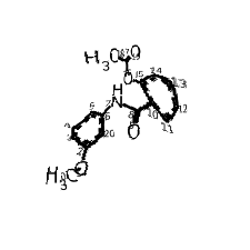 COc1cccc(NC(=O)c2ccccc2OC(C)=O)c1